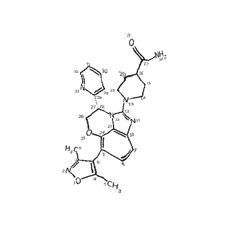 Cc1noc(C)c1-c1ccc2nc(N3CCC(C(N)=O)CC3)n3c2c1OC[C@@H]3c1ccccn1